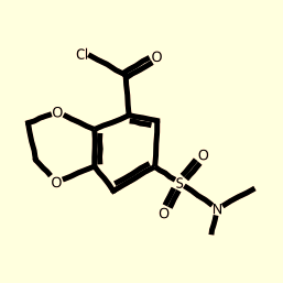 CN(C)S(=O)(=O)c1cc2c(c(C(=O)Cl)c1)OCCO2